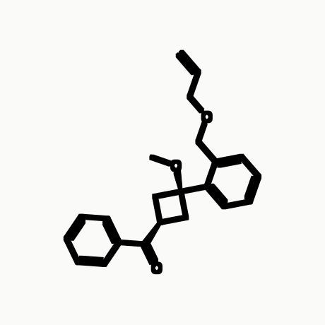 C=CCOCc1ccccc1[C@]1(OC)C[C@@H](C(=O)c2ccccc2)C1